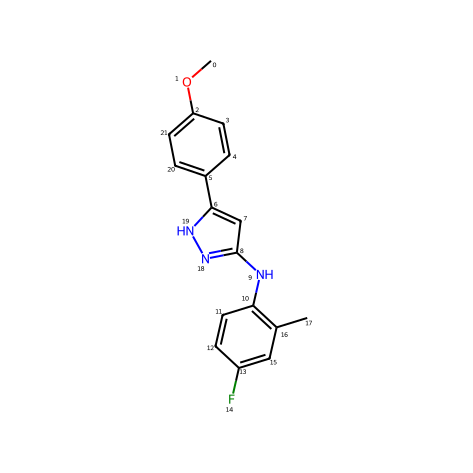 COc1ccc(-c2cc(Nc3ccc(F)cc3C)n[nH]2)cc1